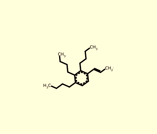 [CH2]/C=C/c1ccc(CCCC)c(CCCC)c1CCCC